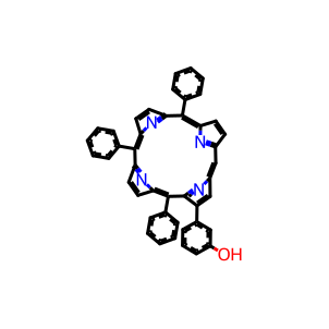 Oc1cccc(C2=CC3=CC4=NC(=C(c5ccccc5)C5=NC(=C(c6ccccc6)C6=NC(=C(c7ccccc7)C2=N3)C=C6)C=C5)C=C4)c1